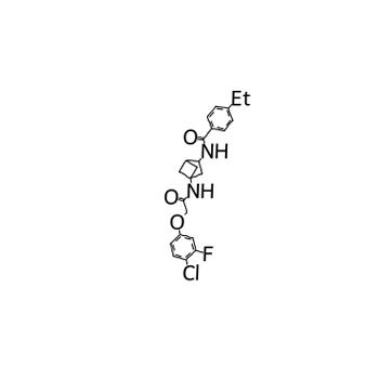 CCc1ccc(C(=O)NC2CC3(NC(=O)COc4ccc(Cl)c(F)c4)CC2C3)cc1